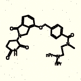 CCCN(CCC)CCN(C)C(=O)c1ccc(COc2cccc3c2CN(C2CCC(=O)NC2=O)C3=O)cc1